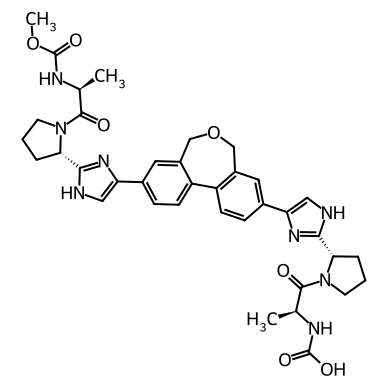 COC(=O)N[C@@H](C)C(=O)N1CCC[C@H]1c1nc(-c2ccc3c(c2)COCc2cc(-c4c[nH]c([C@@H]5CCCN5C(=O)[C@H](C)NC(=O)O)n4)ccc2-3)c[nH]1